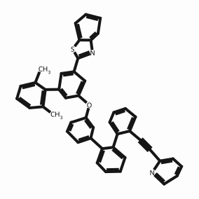 Cc1cccc(C)c1-c1cc(Oc2cccc(-c3ccccc3-c3ccccc3C#Cc3ccccn3)c2)cc(-c2nc3ccccc3s2)c1